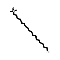 C[Si](C)(Cl)CCCCCCCCCCCCCCCCCCO